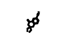 C=C1CC(CC)(CC)Cc2ccc(C#N)cc21